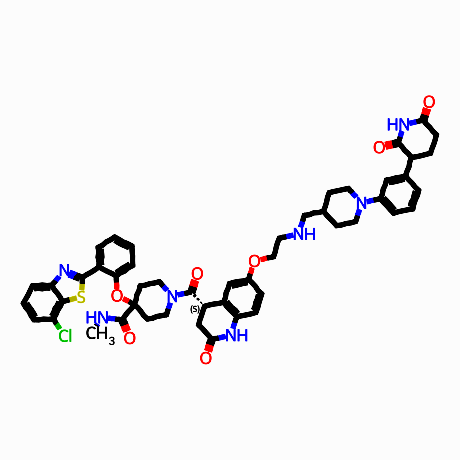 CNC(=O)C1(Oc2ccccc2-c2nc3cccc(Cl)c3s2)CCN(C(=O)[C@H]2CC(=O)Nc3ccc(OCCNCC4CCN(c5cccc(C6CCC(=O)NC6=O)c5)CC4)cc32)CC1